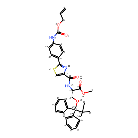 C=CCOC(=O)Nc1ccc(-c2nc(C(=O)N[C@@H](CO[Si](c3ccccc3)(c3ccccc3)C(C)(C)C)C(=O)OC)cs2)cc1